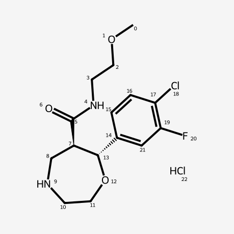 COCCNC(=O)[C@@H]1CNCCO[C@H]1c1ccc(Cl)c(F)c1.Cl